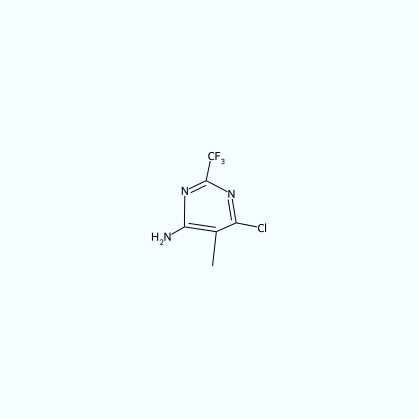 Cc1c(N)nc(C(F)(F)F)nc1Cl